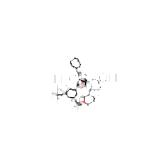 C[C@@H](OC[C@@]1(c2ccccc2)CCC(O)CN1C(=O)OCc1ccccc1)c1cc(C(F)(F)F)cc(C(F)(F)F)c1